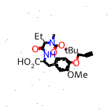 C#CCOc1ccc(C[C@H](NC(=O)[C@H](CC)N(C)C(=O)OC(C)(C)C)C(=O)O)cc1OC